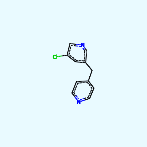 Clc1cncc(Cc2ccncc2)c1